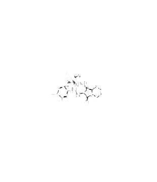 Cc1ccc(N(N=c2c(=O)c3ccccc3c2=O)NS(C)(=O)=O)cc1